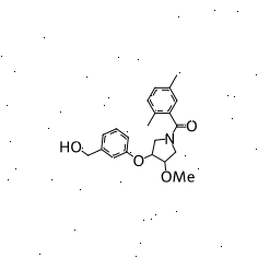 COC1CN(C(=O)c2cc(C)ccc2C)CC1Oc1cccc(CO)c1